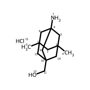 CC12CC3(C)CC(N)(C1)CC(CO)(C2)C3.Cl